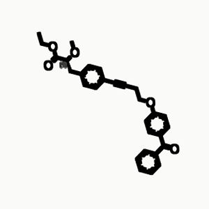 CCOC(=O)[C@H](Cc1ccc(C#CCCOc2ccc(C(=O)c3ccccc3)cc2)cc1)OC